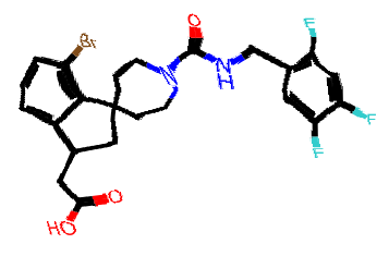 O=C(O)CC1CC2(CCN(C(=O)NCc3cc(F)c(F)cc3F)CC2)c2c(Br)cccc21